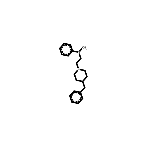 CN(CCN1CCC(Cc2ccccc2)CC1)c1ccccc1